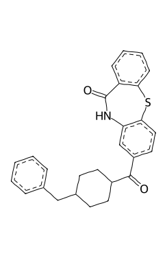 O=C1Nc2cc(C(=O)C3CCC(Cc4ccccc4)CC3)ccc2Sc2ccccc21